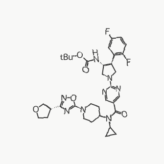 CC(C)(C)OC(=O)N[C@H]1CN(c2ncc(C(=O)N(C3CC3)C3CCN(c4nc([C@@H]5CCOC5)no4)CC3)cn2)C[C@@H]1c1cc(F)ccc1F